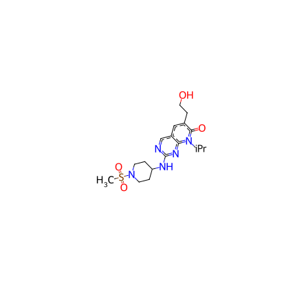 CC(C)n1c(=O)c(CCO)cc2cnc(NC3CCN(S(C)(=O)=O)CC3)nc21